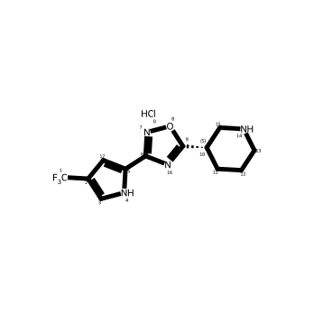 Cl.FC(F)(F)c1c[nH]c(-c2noc([C@H]3CCCNC3)n2)c1